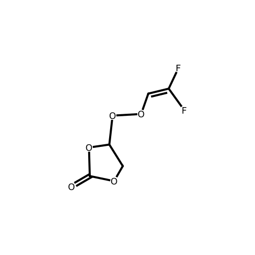 O=C1OCC(OOC=C(F)F)O1